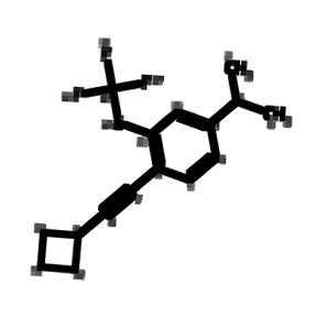 CC(C)c1ccc(C#CC2CCC2)c(SC(F)(F)F)c1